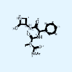 CNC(=O)N(C)C(=O)NC(C(=O)NC1CNC1=O)c1ccccc1